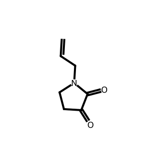 C=CCN1CCC(=O)C1=O